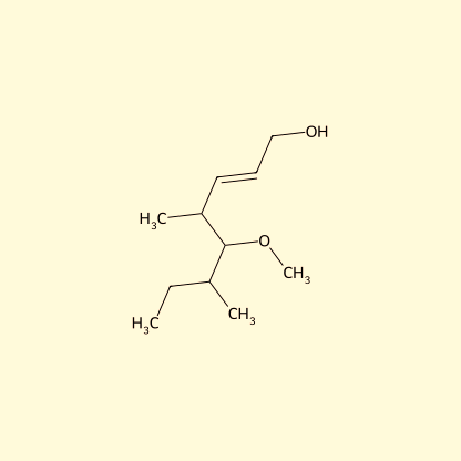 CCC(C)C(OC)C(C)/C=C/CO